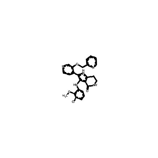 COc1c(Cl)cccc1Nc1c(-c2ccncc2OCc2ccccn2)[nH]c2c1C(=O)NCC2